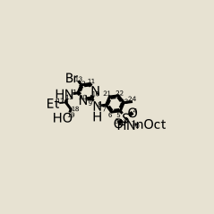 CCCCCCCCNS(=O)(=O)c1cc(Nc2ncc(Br)c(N[C@H](CC)CO)n2)ccc1C